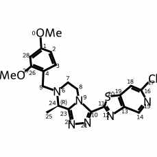 COc1ccc(CN2CCn3c(-c4nc5cnc(Cl)cc5s4)nnc3[C@H]2C)c(OC)c1